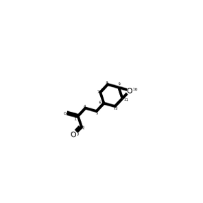 C=C([C]=O)CCC1CCC2OC2C1